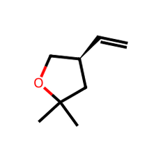 C=C[C@@H]1COC(C)(C)C1